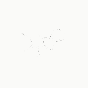 N#Cc1cc2c(oc3ccccc32)c(C#N)c1F